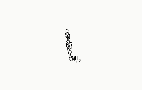 CCN(CC)c1ccc(N=Nc2nc3c(s2)CC(N=Nc2nc4ccccc4s2)S3)cc1